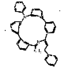 N/C1=N\C(=C/Cc2ccccc2)c2cccc(c2)-c2cccc(c2)N(c2ccccc2)c2cccc(c2)-c2cccc1c2